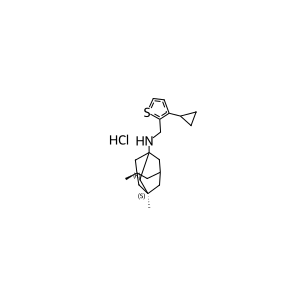 C[C@]12CC3CC(NCc4sccc4C4CC4)(C1)C[C@@](C)(C3)C2.Cl